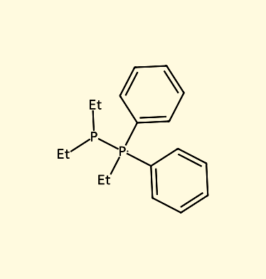 CCP(CC)[P](CC)(c1ccccc1)c1ccccc1